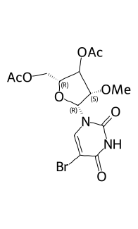 CO[C@H]1C(OC(C)=O)[C@@H](COC(C)=O)O[C@H]1n1cc(Br)c(=O)[nH]c1=O